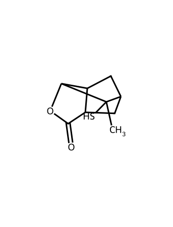 CC1(S)C2CC3C(=O)OC1C3C2